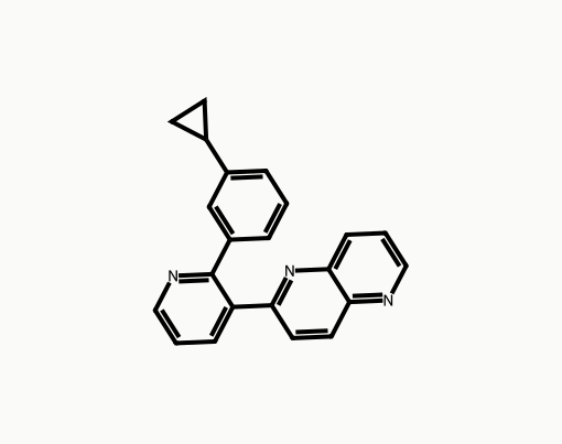 c1cc(-c2ncccc2-c2ccc3ncccc3n2)cc(C2CC2)c1